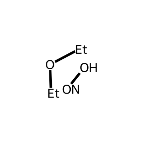 CCOCC.O=NO